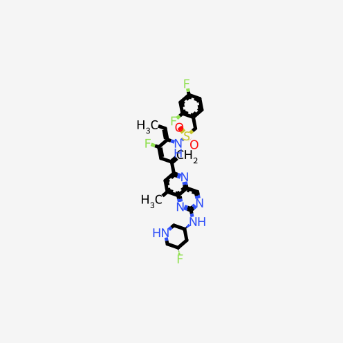 C=C(/C=C(F)\C(=C/C)NS(=O)(=O)Cc1ccc(F)cc1F)c1cc(C)c2nc(N[C@@H]3CNC[C@@H](F)C3)ncc2n1